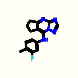 Cc1ccc(Nc2c3c(nc4ncnn24)CCC3)cc1F